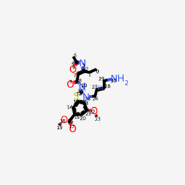 CCc1nc(C)oc1C(=O)/N=c1\sc2cc(C(=O)OC)cc(OC)c2n1C/C=C/CN